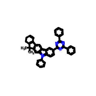 CC1(C)C2=C(C=CCC2)c2cc3c4cc(-c5nc(-c6ccccc6)nc(-c6ccccc6)n5)ccc4n(-c4ccccc4)c3cc21